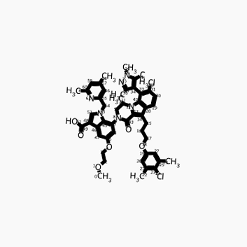 COCCOc1cc(N2C[C@@H](C)n3c(c(CCCOc4cc(C)c(Cl)c(C)c4)c4ccc(Cl)c(-c5c(C)nn(C)c5C)c43)C2=O)c2c(c1)c(C(=O)O)cn2Cc1cc(C)cc(C)n1